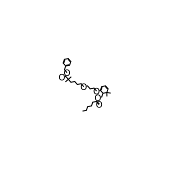 CCCCCC(=O)OCC1C(OCCCOCCCCC(C)(C)C(=O)OCc2ccccc2)=CC=CC1(C)C